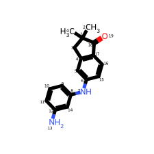 CC1(C)Cc2cc(Nc3cccc(N)c3)ccc2C1=O